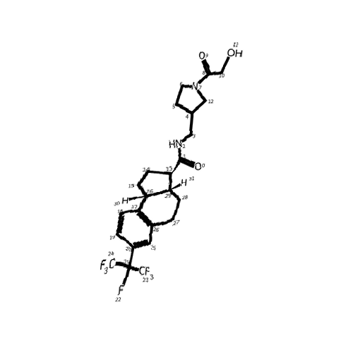 O=C(NCC1CCN(C(=O)CO)C1)[C@@H]1CC[C@H]2c3ccc(C(F)(C(F)(F)F)C(F)(F)F)cc3CC[C@@H]12